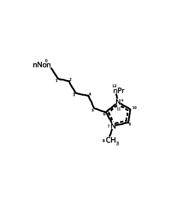 CCCCCCCCCCCCCCc1n(C)cc[n+]1CCC